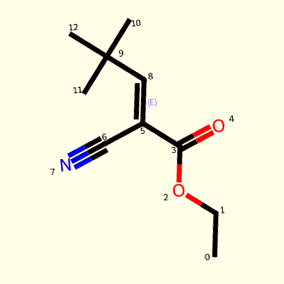 CCOC(=O)/C(C#N)=C/C(C)(C)C